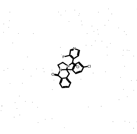 O=C(c1ccncc1F)N1CCN2C(=O)c3ccccc3CC12c1ccc(Cl)cc1